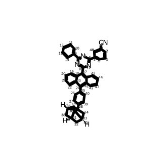 N#Cc1cccc(-c2nc(-c3ccccc3)nc(-c3c4ccccc4c(-c4ccc(C56C[C@H]7C[C@H](C5)C[C@@H](C6)C7)cc4)c4ccccc34)n2)c1